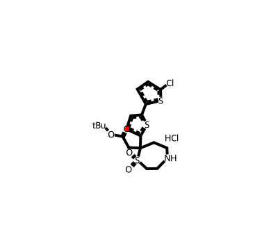 CC(C)(C)OC(=O)CC1(c2ccc(-c3ccc(Cl)s3)s2)CCNCCS1(=O)=O.Cl